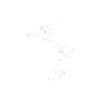 Cc1cnc(N2CC3(CCOCC3)C2)c(C(=O)Nc2ccc(C(=O)N3CCc4cc(-c5ncc(C)o5)sc4-c4ccc(F)cc43)cc2)c1